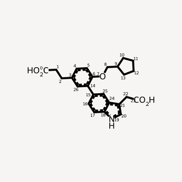 O=C(O)CCc1ccc(OCC2CCCC2)c(-c2ccc3[nH]cc(CC(=O)O)c3c2)c1